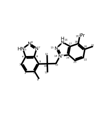 Cc1ccc2[nH]nnc2c1C(C)(C)C[n+]1n[nH]c2c(C(C)C)c(C)ccc21